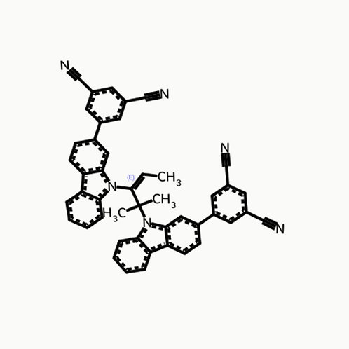 C/C=C(/n1c2ccccc2c2ccc(-c3cc(C#N)cc(C#N)c3)cc21)C(C)(C)n1c2ccccc2c2ccc(-c3cc(C#N)cc(C#N)c3)cc21